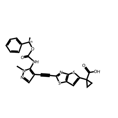 C[C@@H](OC(=O)Nc1c(C#Cc2nc3sc(C4(C(=O)O)CC4)cc3s2)cnn1C)c1ccccc1